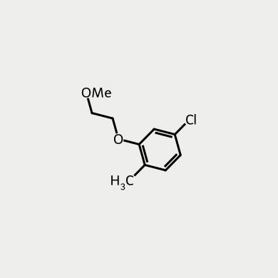 COCCOc1cc(Cl)ccc1C